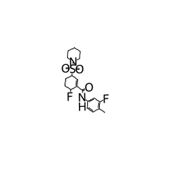 Cc1ccc(NC(=O)C2=CC(S(=O)(=O)N3CCCCC3)CCC2F)cc1F